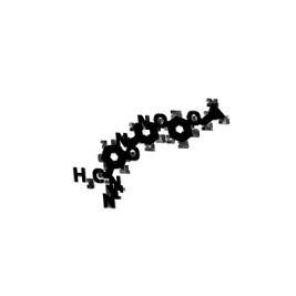 CC(N=[N+]=[N-])c1ccc2nc(-c3ccc(Oc4cccc(OCC5CC5)c4)nc3)oc2c1